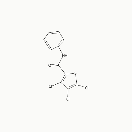 O=C(Nc1ccccc1)c1sc(Cl)c(Cl)c1Cl